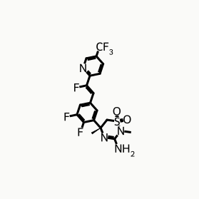 CN1C(N)=N[C@](C)(c2cc(/C=C(\F)c3ccc(C(F)(F)F)cn3)cc(F)c2F)CS1(=O)=O